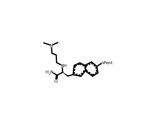 CCCCCc1ccc2cc(C[C@H](NCCCN(C)C)C(N)=O)ccc2c1